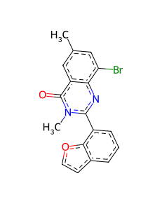 Cc1cc(Br)c2nc(-c3cccc4ccoc34)n(C)c(=O)c2c1